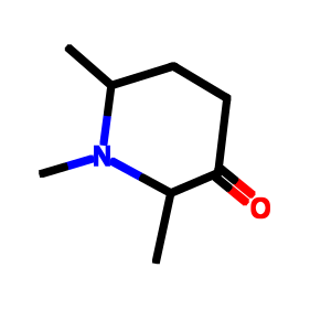 CC1CCC(=O)C(C)N1C